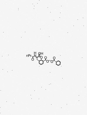 CCCC(=O)N[C@H]1Cc2cccc(C(=O)OCOC(=O)c3ccccc3)c2OB1O